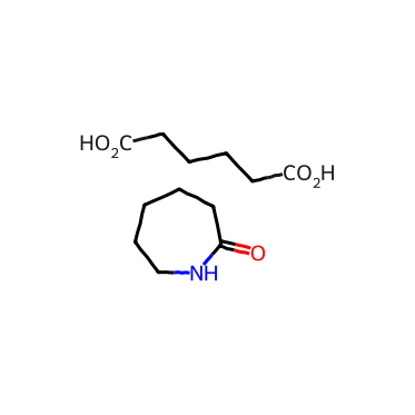 O=C(O)CCCCC(=O)O.O=C1CCCCCN1